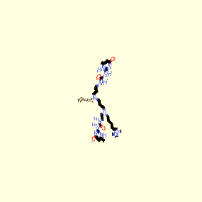 CCCCCN(CCCNC(=O)Nc1nc(=O)cc(C)[nH]1)CCCN(CCCCC[N+](C)(C)C)CCNC(=O)Nc1nc(=O)cc(C)[nH]1